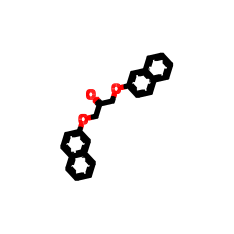 O=C(COc1ccc2ccccc2c1)COc1ccc2ccccc2c1